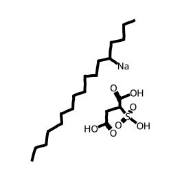 CCCCCCCCCCCC[CH]([Na])CCCC.O=C(O)CC(C(=O)O)S(=O)(=O)O